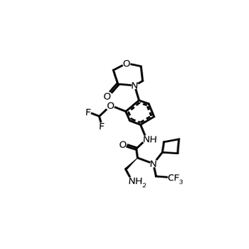 NC[C@@H](C(=O)Nc1ccc(N2CCOCC2=O)c(OC(F)F)c1)N(CC(F)(F)F)C1CCC1